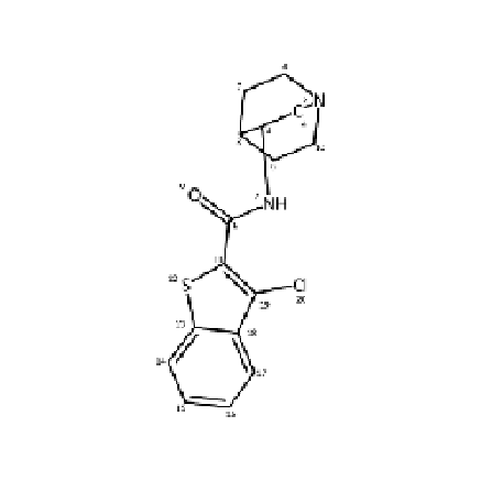 O=C(NC1CN2CCC1CC2)c1sc2ccccc2c1Cl